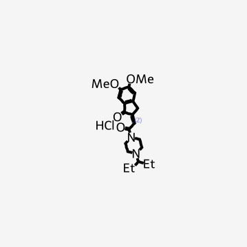 CCC(CC)N1CCN(C(=O)/C=C2/Cc3cc(OC)c(OC)cc3C2=O)CC1.Cl